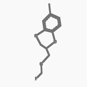 Cc1ccc2c(c1)OCC(COCF)O2